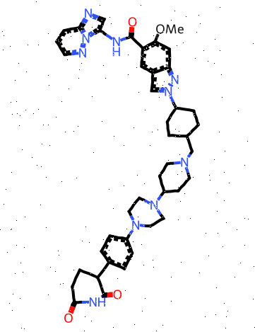 COc1cc2nn(C3CCC(CN4CCC(N5CCN(c6ccc(C7CCC(=O)NC7=O)cc6)CC5)CC4)CC3)cc2cc1C(=O)Nc1cnc2cccnn12